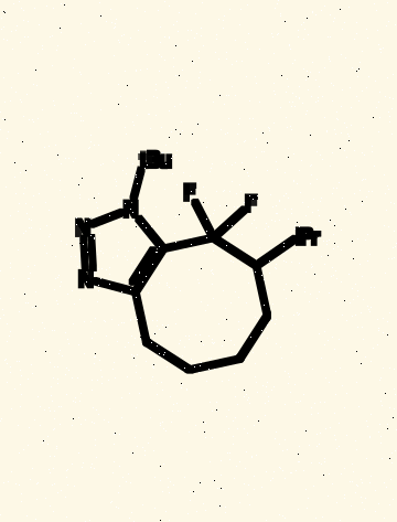 CC(C)C1CCCCc2nnn(C(C)(C)C)c2C1(F)F